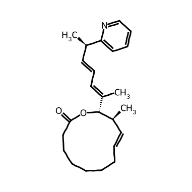 C/C(=C\C=C\[C@@H](C)c1ccccn1)[C@H]1OC(=O)CCCCCC/C=C/[C@@H]1C